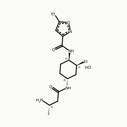 CCc1cc(C(=O)N[C@@H]2CC[C@@H](NC(=O)C[C@H](C)N)C[C@@H]2CC)no1.Cl